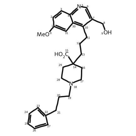 COc1ccc2ncc(CO)c(CCCC3(C(=O)O)CCN(CCCc4ccccc4)CC3)c2c1